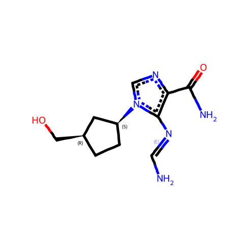 N/C=N/c1c(C(N)=O)ncn1[C@H]1CC[C@@H](CO)C1